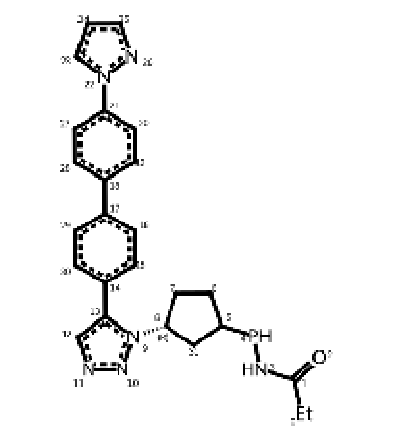 CCC(=O)NPC1CC[C@@H](n2nncc2-c2ccc(-c3ccc(-n4cccn4)cc3)cc2)C1